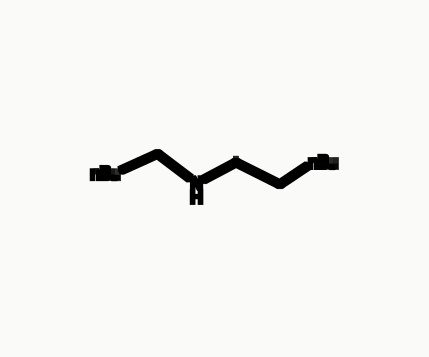 CCCCC[CH]NCCCCC